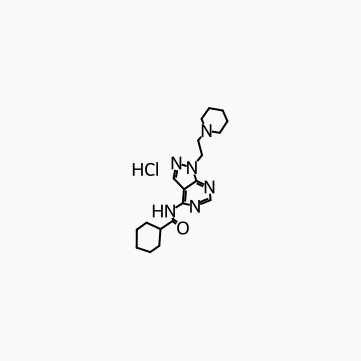 Cl.O=C(Nc1ncnc2c1cnn2CCN1CCCCC1)C1CCCCC1